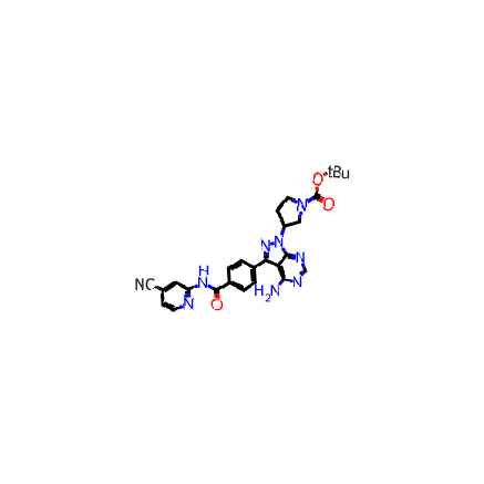 CC(C)(C)OC(=O)N1CCC(n2nc(-c3ccc(C(=O)Nc4cc(C#N)ccn4)cc3)c3c(N)ncnc32)C1